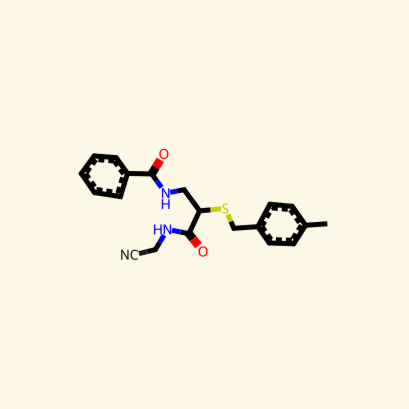 Cc1ccc(CSC(CNC(=O)c2ccccc2)C(=O)NCC#N)cc1